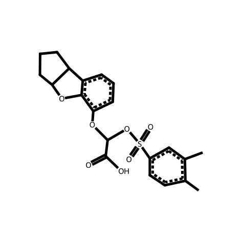 Cc1ccc(S(=O)(=O)OC(Oc2cccc3c2OC2CCCC32)C(=O)O)cc1C